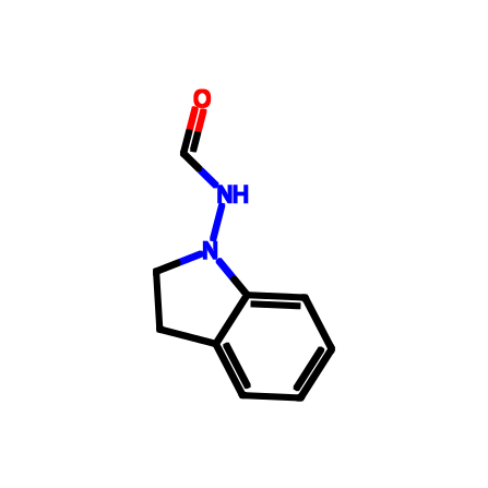 O=CNN1CCc2ccccc21